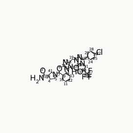 NC(=O)[C@H]1CCN(C(=O)c2ccccc2-n2cnc(Cn3nc(-c4ccc(Cl)cc4)n(C[C@H](O)C(F)(F)F)c3=O)n2)C1